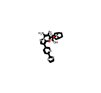 CC(=O)c1c(C2CC3CCC(C2)N3C(=O)[C@@H](C)O)nc2c(-c3ccc(-c4nccs4)nc3)cnn2c1N